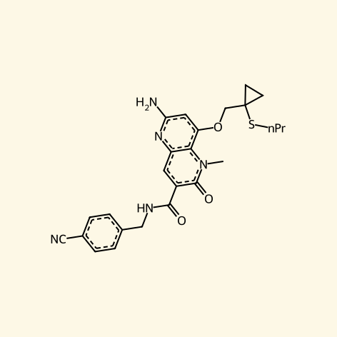 CCCSC1(COc2cc(N)nc3cc(C(=O)NCc4ccc(C#N)cc4)c(=O)n(C)c23)CC1